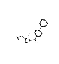 Cn1c(CC(=O)O)cnc1C(=O)c1ccc(-c2ccccc2)cc1